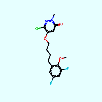 COc1c(F)cc(F)cc1CCCCOc1cc(=O)n(C)nc1Cl